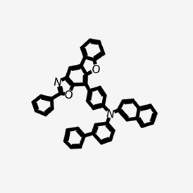 c1ccc(-c2cccc(N(c3ccc(-c4c5oc(-c6ccccc6)nc5cc5c4oc4ccccc45)cc3)c3ccc4ccccc4c3)c2)cc1